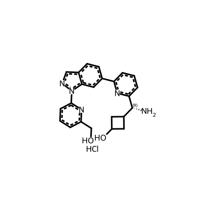 Cl.N[C@@H](c1cccc(-c2ccc3cnn(-c4cccc(CO)n4)c3c2)n1)C1CC(O)C1